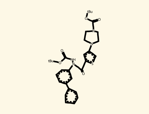 CC(C)(C)OC(=O)NN(C(=O)c1cc(N2CCN(C(=O)OC(C)(C)C)CC2)cs1)c1cccc(-c2ccccc2)c1